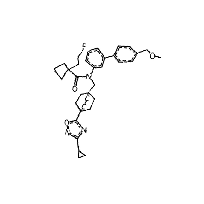 COCc1ccc(-c2cccc(N(CC34CCC(c5nc(C6CC6)no5)(CC3)CC4)C(=O)C3(CCF)CCC3)c2)cc1